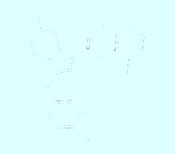 COc1ccc(Cn2cc(C(=O)Nc3c(Cl)cncc3Cl)c3cc(O)ccc32)cc1